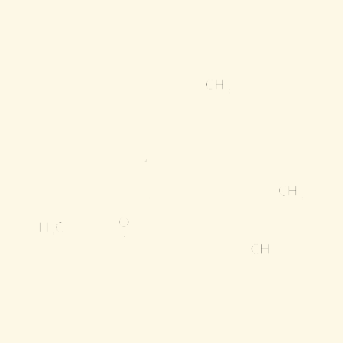 CCOc1cc(CC)cc([C](C)C)c1